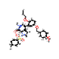 CCCOc1ccc(OCc2ccc(OC)cc2)cc1-c1cn(C)c(=O)c2c1ccn2S(=O)(=O)c1ccc(C)cc1